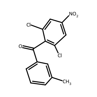 Cc1cccc(C(=O)c2c(Cl)cc([N+](=O)[O-])cc2Cl)c1